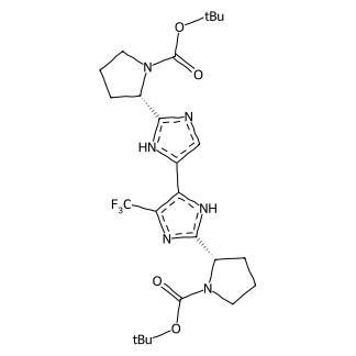 CC(C)(C)OC(=O)N1CCC[C@H]1c1ncc(-c2[nH]c([C@@H]3CCCN3C(=O)OC(C)(C)C)nc2C(F)(F)F)[nH]1